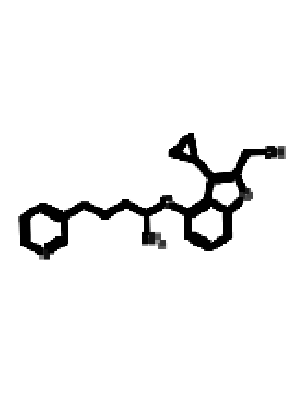 NC(CCCc1cccnc1)Oc1cccc2oc(CO)c(C3CC3)c12